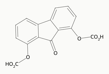 O=C(O)Oc1cccc2c1C(=O)c1c(OC(=O)O)cccc1-2